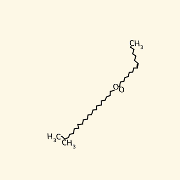 CCCCCC/C=C\CCCCCCCC(=O)OCCCCCCCCCCCCCCCCCCCCCC(C)CC